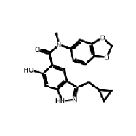 CN(C(=O)c1cc2c(CC3CC3)n[nH]c2cc1O)c1ccc2c(c1)OCO2